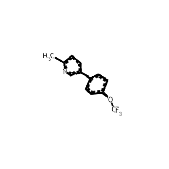 Cc1ccc(-c2ccc(OC(F)(F)F)cc2)cn1